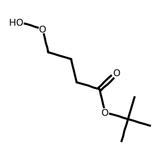 CC(C)(C)OC(=O)CCCOO